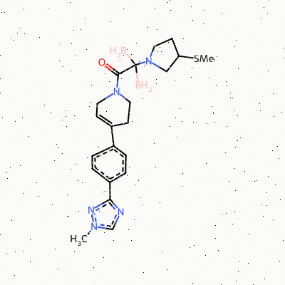 BC(B)(C(=O)N1CC=C(c2ccc(-c3ncn(C)n3)cc2)CC1)N1CCC(SC)C1